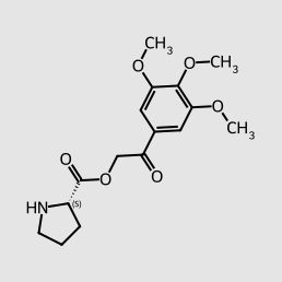 COc1cc(C(=O)COC(=O)[C@@H]2CCCN2)cc(OC)c1OC